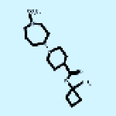 CCOC(=O)N1CCC[C@@H](N2CCC(C(=O)NC3(C)CCC3)CC2)CC1